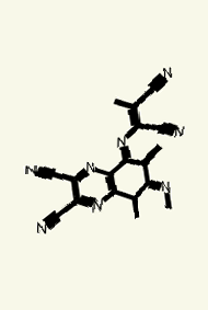 C=C1/C(=N\C(C#N)=C(/C)C#N)c2nc(C#N)c(C#N)nc2C(C)/C1=N\C